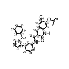 CC(C)Oc1cc2[nH]c(=O)c([C@H](C)Nc3cc(-c4cncn4Cc4ccccc4)ccn3)cc2cc1Cl